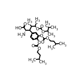 CC(C)CCOC(=O)Oc1ccc(C(C(C)C(C)OC(=O)OC(C)C(C)C)[C@H](N)C(=O)O)cc1OC(=O)OCCC(C)C